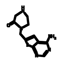 Nc1ncnc2sc(CN3CCNCC3=O)cc12